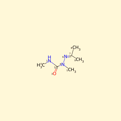 CNC(=O)N(C)N=C(C)C